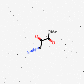 COC(=O)C(=O)C=[N+]=[N-]